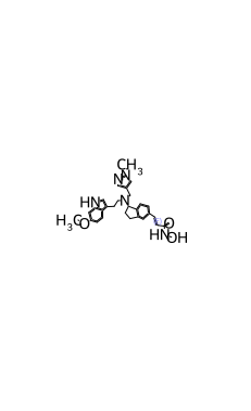 CCn1cc(CN(CCc2c[nH]c3cc(OC)ccc23)C2CCc3cc(/C=C/C(=O)NO)ccc32)cn1